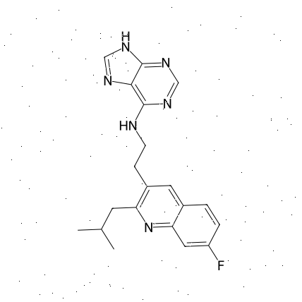 CC(C)Cc1nc2cc(F)ccc2cc1CCNc1ncnc2[nH]cnc12